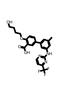 Cc1cc(Nc2nccc(C(F)(F)F)n2)cc(-c2ccc(OCCCCO)c(C(=O)O)c2)c1